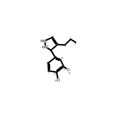 CCCC1=CNNC1c1ccc(Cl)c(Cl)c1